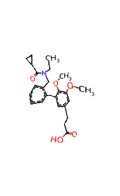 CCN(Cc1ccccc1-c1cc(CCC(=O)O)cc(OC)c1OC)C(=O)C1CC1